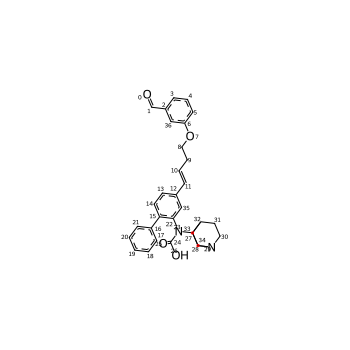 O=Cc1cccc(OCC/C=C/c2ccc(-c3ccccc3)c(N(C(=O)O)C3CN4CCC3CC4)c2)c1